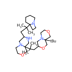 CC(C)(C)C12COCCN1CC(CC(C)(C)C13CNC(CC(C)(C)C45CCCCN4CC5)CN1CCOC3)OC2